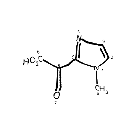 Cn1ccnc1C(=O)C(=O)O